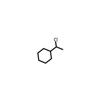 CC(Cl)C1CCCCC1